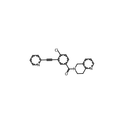 O=C(c1ccc(Cl)c(C#Cc2ccccn2)c1)N1CCc2ncccc2C1